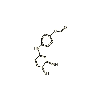 N=C1C=CC(Nc2ccc(OC=O)cc2)=CC1=N